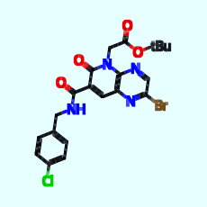 CC(C)(C)OC(=O)Cn1c(=O)c(C(=O)NCc2ccc(Cl)cc2)cc2nc(Br)cnc21